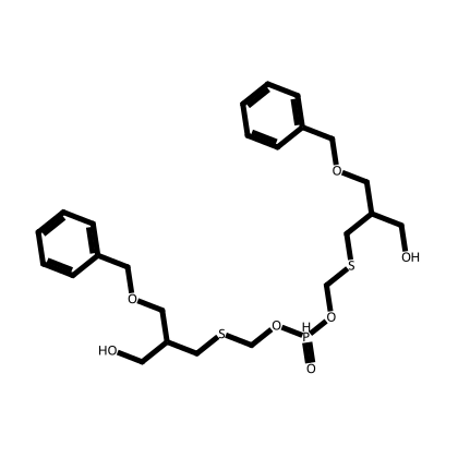 O=[PH](OCSCC(CO)COCc1ccccc1)OCSCC(CO)COCc1ccccc1